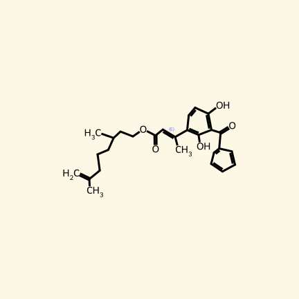 C=C(C)CCCC(C)CCOC(=O)/C=C(\C)c1ccc(O)c(C(=O)c2ccccc2)c1O